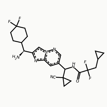 N#CC1(C(NC(=O)C(F)(F)CC2CC2)c2cnn3cc([C@@H](N)C4CCC(F)(F)CC4)nc3c2)CC1